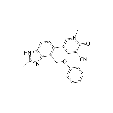 Cc1nc2c(COc3ccccc3)c(-c3cc(C#N)c(=O)n(C)c3)ccc2[nH]1